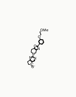 COCCOc1cccc(-c2nc3c(o2)CCN(c2ncc4c(n2)CC[S+]4[O-])C3)c1